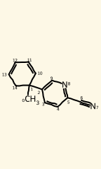 CC1(c2ccc(C#N)nc2)C=CC=CC1